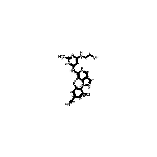 Cc1nc(NCCO)cc(Nc2cc3c(cn2)cnn3-c2c(F)cc(C#N)cc2Cl)n1